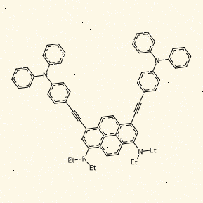 CCN(CC)c1cc(C#Cc2ccc(N(c3ccccc3)c3ccccc3)cc2)c2ccc3c(C#Cc4ccc(N(c5ccccc5)c5ccccc5)cc4)cc(N(CC)CC)c4ccc1c2c34